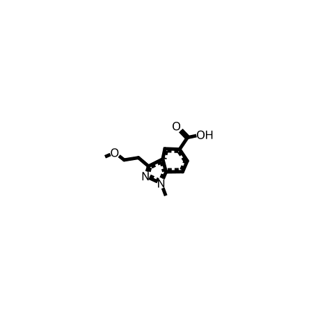 COCCc1nn(C)c2ccc(C(=O)O)cc12